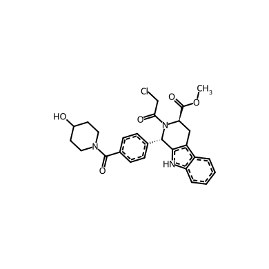 COC(=O)[C@H]1Cc2c([nH]c3ccccc23)[C@H](c2ccc(C(=O)N3CCC(O)CC3)cc2)N1C(=O)CCl